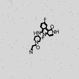 N#CCC(=O)N1CC[C@H](Nc2nc3cc[nH]c(=O)c3c3cc(F)ccc23)[C@H](F)C1